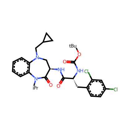 CC(C)N1C(=O)[C@H](NC(=O)[C@@H](Cc2ccc(Cl)cc2Cl)NC(=O)OC(C)(C)C)CN(CC2CC2)c2ccccc21